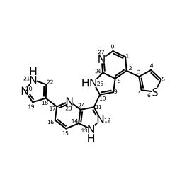 c1cc(-c2ccsc2)c2cc(-c3n[nH]c4ccc(-c5cn[nH]c5)nc34)[nH]c2n1